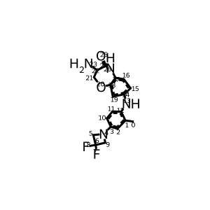 Cc1cc(N2CC(F)(F)C2)ccc1Nc1ccc2c(c1)OCC(N)C(=O)N2